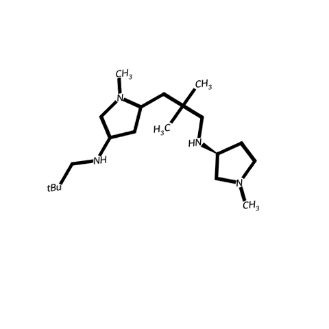 CN1CC[C@H](NCC(C)(C)CC2CC(NCC(C)(C)C)CN2C)C1